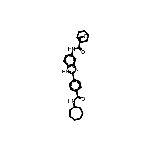 O=C(NC1CCCCCC1)c1ccc(-c2nc3cc(NC(=O)C4CC5CCC4CC5)ccc3[nH]2)cc1